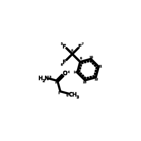 CCC(N)=O.FC(F)(F)c1ccccc1